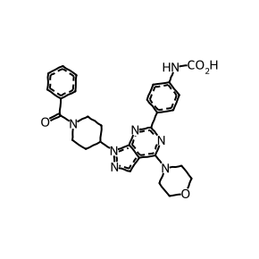 O=C(O)Nc1ccc(-c2nc(N3CCOCC3)c3cnn(C4CCN(C(=O)c5ccccc5)CC4)c3n2)cc1